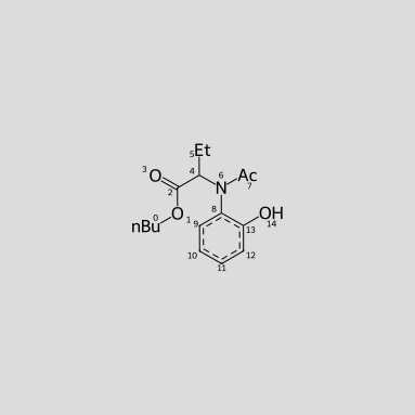 CCCCOC(=O)C(CC)N(C(C)=O)c1ccccc1O